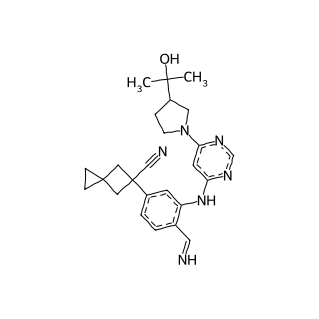 CC(C)(O)C1CCN(c2cc(Nc3cc(C4(C#N)CC5(CC5)C4)ccc3C=N)ncn2)C1